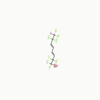 FC(F)(Br)C(F)(F)C=CC=CC(F)(F)C(F)(F)I